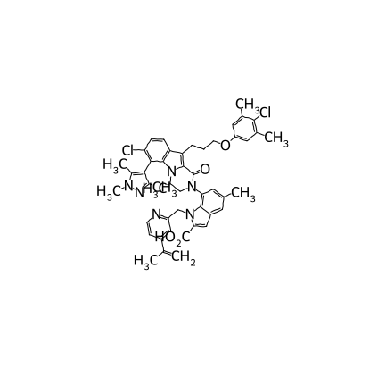 C=C(C)c1ccnc(Cn2c(C(=O)O)cc3cc(C)cc(N4C[C@@H](C)n5c(c(CCCOc6cc(C)c(Cl)c(C)c6)c6ccc(Cl)c(-c7c(C)nn(C)c7C)c65)C4=O)c32)c1